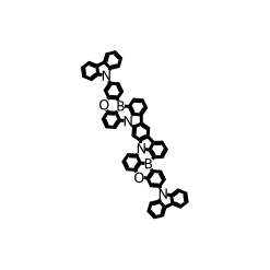 c1cc2c3c(c1)-n1c4cc5c(cc4c4cccc(c41)B3c1ccc(-n3c4ccccc4c4ccccc43)cc1O2)c1cccc2c1n5-c1cccc3c1B2c1ccc(-n2c4ccccc4c4ccccc42)cc1O3